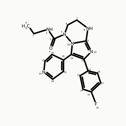 CCNC(=O)N1CCNc2nc(-c3ccc(F)cc3)c(-c3ccncc3)n21